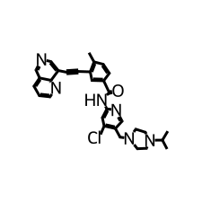 Cc1ccc(C(=O)Nc2cc(Cl)c(CN3CCN(C(C)C)CC3)cn2)cc1C#Cc1cncc2cccnc12